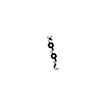 OCC/N=C/c1ccc(OCc2ccc(SC(F)(F)F)cc2)cc1